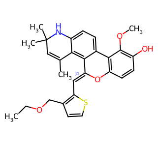 CCOCc1ccsc1/C=C1\Oc2ccc(O)c(OC)c2-c2ccc3c(c21)C(C)=CC(C)(C)N3